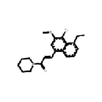 CCc1cccc2c(C=CC(=O)N3CCCCC3)cc(OC)c(O)c12